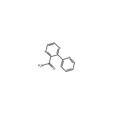 NC(=O)c1nccnc1-c1ccccn1